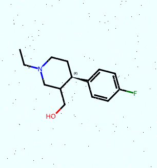 CCN1CC[C@@H](c2ccc(F)cc2)C(CO)C1